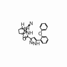 N#CN1C[C@@H]2CC[C@H]1[C@H]2NC(=O)c1cc(-c2ccccc2Oc2ccccc2)[nH]n1